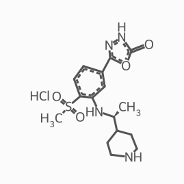 C[C@H](Nc1cc(-c2n[nH]c(=O)o2)ccc1S(C)(=O)=O)C1CCNCC1.Cl